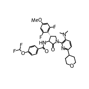 COc1cc(F)c([C@@H]2CN(c3nc(C4CCOCC4)ccc3N(C)C)C(=O)C2NC(=O)c2ccc(OC(F)F)cc2)c(F)c1